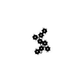 c1ccc(-c2ccc(N(c3ccccc3)c3ccc4oc5c(N(c6ccccc6)c6ccc7c(c6)oc6ccccc67)cccc5c4c3)cc2)cc1